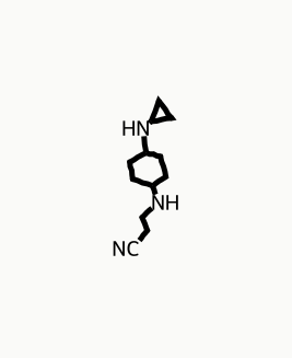 N#CCCNC1CCC(NC2CC2)CC1